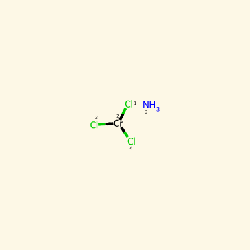 N.[Cl][Cr]([Cl])[Cl]